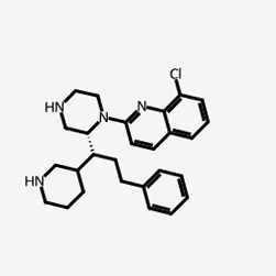 Clc1cccc2ccc(N3CCNC[C@H]3C(CCc3ccccc3)C3CCCNC3)nc12